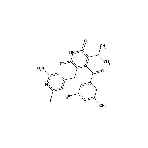 Bc1cc(C)cc(C(=O)c2c(C(C)C)c(=O)[nH]c(=O)n2Cc2cc(N)nc(I)c2)c1